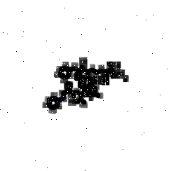 CC(C)C[C@H](NC(=O)[C@H](CCCNC(=N)N)NC(=O)Cc1ccccc1)C(=O)N[C@H](CNC(=O)/C=C/c1ccccc1)C(C)C